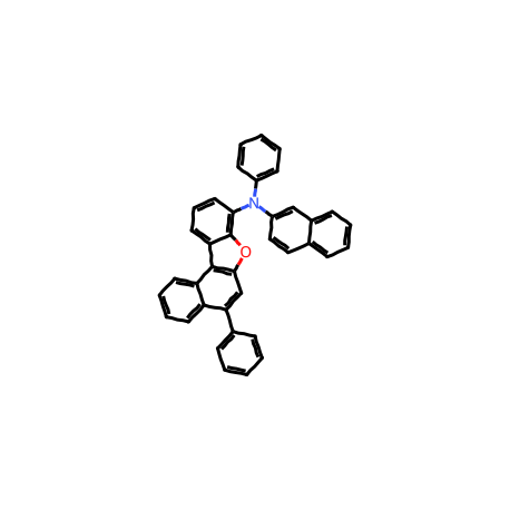 c1ccc(-c2cc3oc4c(N(c5ccccc5)c5ccc6ccccc6c5)cccc4c3c3ccccc23)cc1